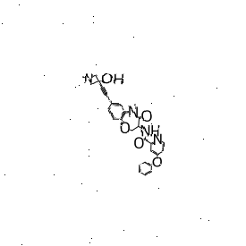 CN1CC(O)(C#Cc2ccc3c(c2)N(C)C(=O)C(NC(=O)c2cc(Oc4ccccc4)ccn2)CO3)C1